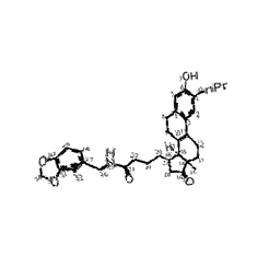 CCCc1cc2c(cc1O)CCC1C2CCC2(C)C(=O)C[C@@H](CCCC(=O)NCc3ccc4c(c3)OCO4)[C@@H]12